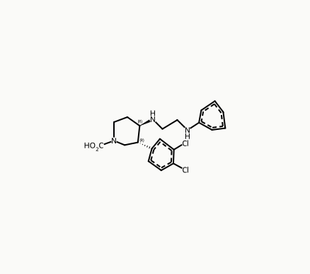 O=C(O)N1CC[C@@H](NCCNc2ccccc2)[C@H](c2ccc(Cl)c(Cl)c2)C1